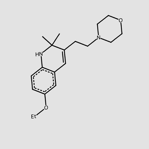 CCOc1ccc2c(c1)C=C(CCN1CCOCC1)C(C)(C)N2